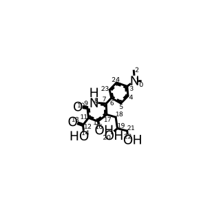 CN(C)c1ccc(-c2[nH]c(=O)c(C(=O)O)c(O)c2CC(O)CO)cc1